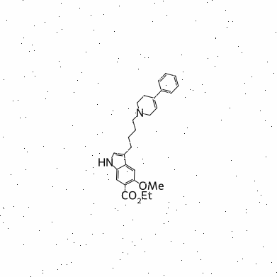 CCOC(=O)c1cc2[nH]cc(CCCCN3CC=C(c4ccccc4)CC3)c2cc1OC